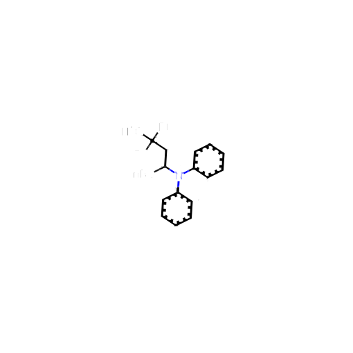 CCCCC(CC(C)(CC)CC)N(c1ccccc1)c1ccccc1